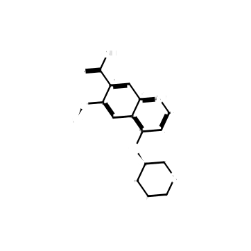 CC[C@H](C)Oc1cc2c(O[C@@H]3CCCNC3)ccnc2cc1C(N)=O